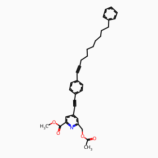 COC(=O)c1cc(C#Cc2ccc(C#CCCCCCCCCc3ccccc3)cc2)cc(COC(C)=O)n1